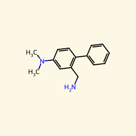 CN(C)c1ccc(-c2ccccc2)c(CN)c1